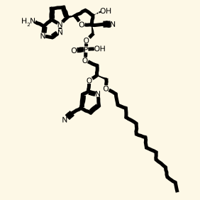 CCCCCCCCCCCCCCOC[C@H](COP(=O)(O)OC[C@@]1(C#N)O[C@@H](c2ccc3c(N)ncnn23)C[C@@H]1O)Oc1cc(C#N)ccn1